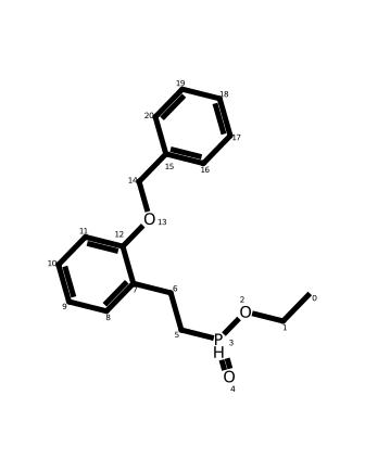 CCO[PH](=O)CCc1ccccc1OCc1ccccc1